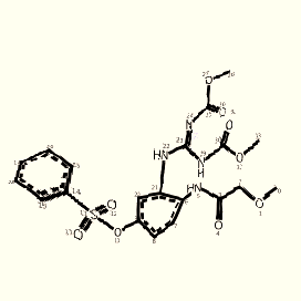 COCC(=O)Nc1ccc(OS(=O)(=O)c2ccccc2)cc1N/C(=N/C(=O)OC)NC(=O)OC